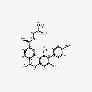 Cc1cc(OC(c2ccc(C(=O)NCC(O)C(=O)O)cc2)C(C)C)cc(C)c1-c1ccc(C(C)C)cc1